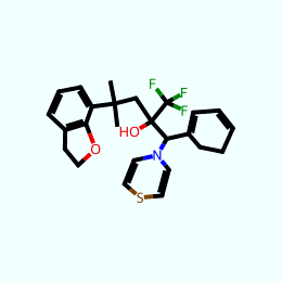 CC(C)(CC(O)(C(C1=CC=CCC1)N1C=CSC=C1)C(F)(F)F)c1cccc2c1OCC2